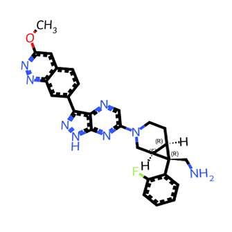 COc1cc2ccc(-c3n[nH]c4nc(N5CC[C@@H]6[C@H](C5)[C@@]6(CN)c5ccccc5F)cnc34)cc2nn1